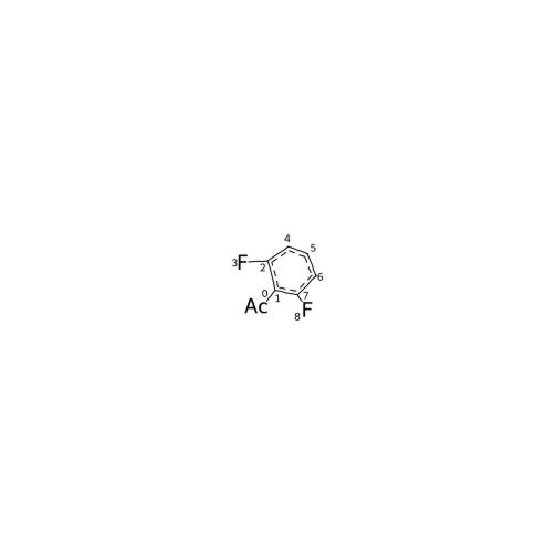 [CH2]C(=O)c1c(F)cccc1F